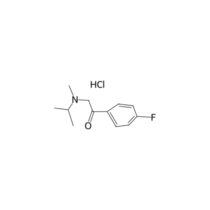 CC(C)N(C)CC(=O)c1ccc(F)cc1.Cl